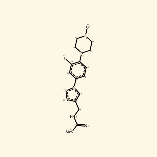 CSC(=S)NCc1cn(-c2ccc(N3CC[S+]([O-])CC3)c(F)c2)nn1